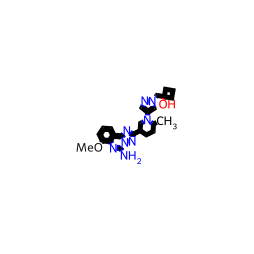 COc1cccc2c1nc(N)n1nc(C3CCC(C)N(c4cnn(CC5(O)CCC5)c4)C3)nc21